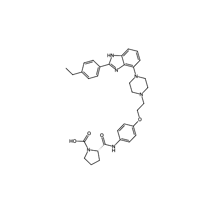 CCc1ccc(-c2nc3c(N4CCN(CCOc5ccc(NC(=O)[C@@H]6CCCN6C(=O)O)cc5)CC4)cccc3[nH]2)cc1